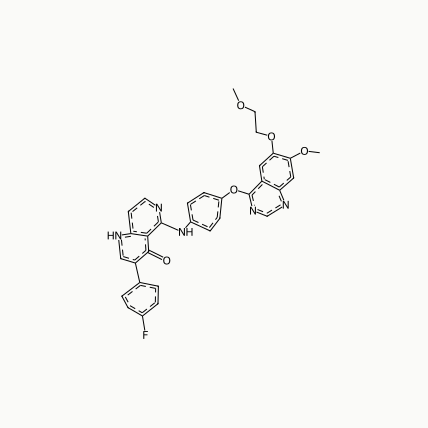 COCCOc1cc2c(Oc3ccc(Nc4nccc5[nH]cc(-c6ccc(F)cc6)c(=O)c45)cc3)ncnc2cc1OC